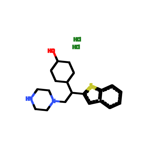 Cl.Cl.OC1CCC(C(CN2CCNCC2)c2cc3ccccc3s2)CC1